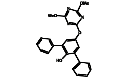 COc1nc(OC)nc(Oc2cc(-c3ccccc3)c(O)c(-c3ccccc3)c2)n1